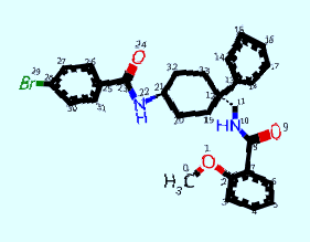 COc1ccccc1C(=O)NC[C@]1(c2ccccc2)CC[C@@H](NC(=O)c2ccc(Br)cc2)CC1